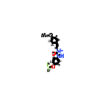 COc1ccc(CCNC(=O)Nc2ccc(OC(F)F)cc2)cc1